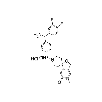 Cl.Cl.Cn1cc2c(cc1=O)C1(CCN(Cc3ccc(C(N)c4ccc(F)c(F)c4)cc3)CC1)OC2